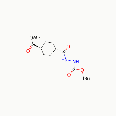 COC(=O)[C@H]1CC[C@H](C(=O)NNC(=O)OC(C)(C)C)CC1